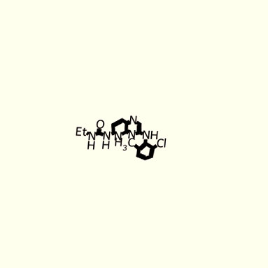 CCNC(=O)Nc1ccc2ncc(Nc3c(C)cccc3Cl)nc2n1